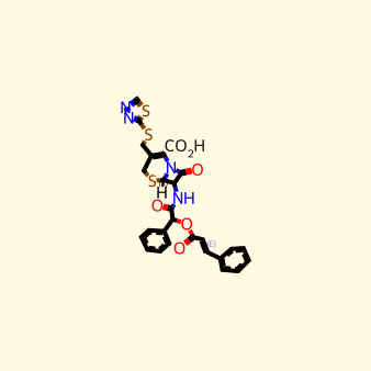 O=C(/C=C/c1ccccc1)OC(C(=O)NC1C(=O)N2C(C(=O)O)=C(CSc3nncs3)CS[C@H]12)c1ccccc1